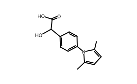 Cc1ccc(C)n1-c1ccc(C(O)C(=O)O)cc1